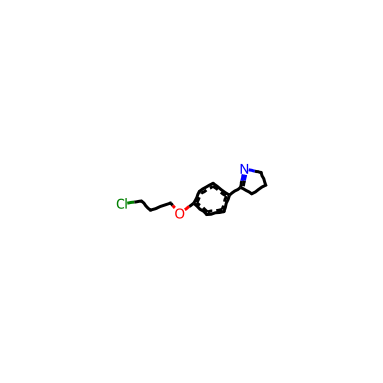 ClCCCOc1ccc(C2=NCCC2)cc1